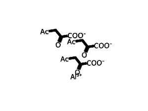 CC(=O)CC(=O)C(=O)[O-].CC(=O)CC(=O)C(=O)[O-].CC(=O)CC(=O)C(=O)[O-].[Al+3]